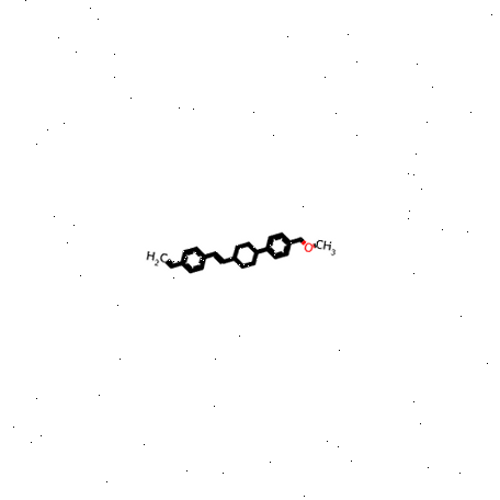 C=Cc1ccc(C=CC2CCC(c3ccc(COC)cc3)CC2)cc1